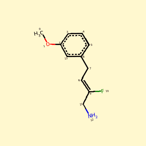 COc1cccc(C/C=C(\F)CN)c1